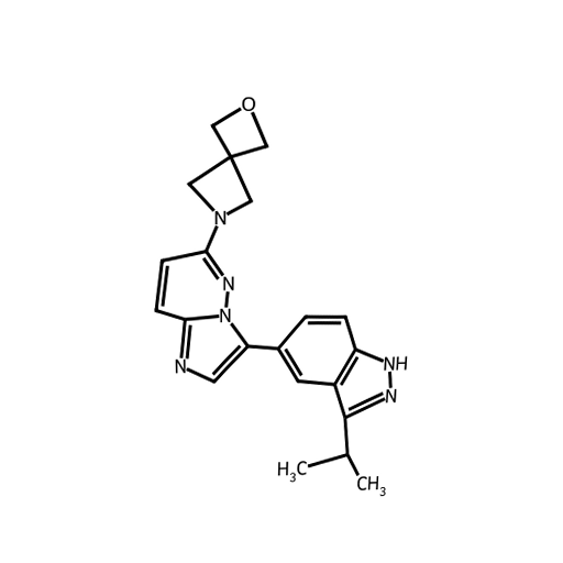 CC(C)c1n[nH]c2ccc(-c3cnc4ccc(N5CC6(COC6)C5)nn34)cc12